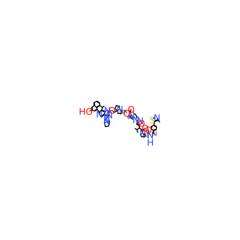 Cc1ncsc1-c1ccc([C@H](C)NC(=O)[C@@H]2CCCN2C(=O)C(c2cc(N3CCN(C(=O)OC[C@@H]4CCC5(COc6nc(N7CC8CCC(C7)N8)c7cnc8c(c7n6)C(C)c6cccc7cc(O)cc-8c67)CCCN45)[C@@H](C)C3)no2)C(C)C)cc1